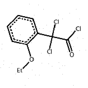 CCOc1ccccc1C(Cl)(Cl)C(=O)Cl